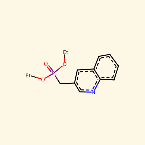 CCOP(=O)(Cc1cnc2ccccc2c1)OCC